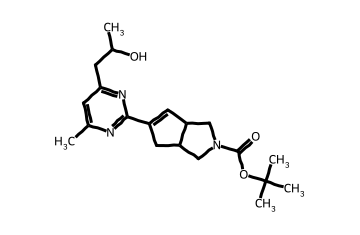 Cc1cc(CC(C)O)nc(C2=CC3CN(C(=O)OC(C)(C)C)CC3C2)n1